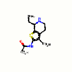 CC(=O)NCC1NCCc2c1sc(NC(=O)C(=O)O)c2C(=O)O